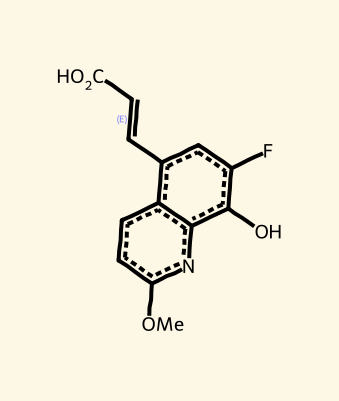 COc1ccc2c(/C=C/C(=O)O)cc(F)c(O)c2n1